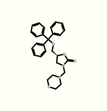 O=C1O[C@H](COC(c2ccccc2)(c2ccccc2)c2ccccc2)CN1CN1CCOCC1